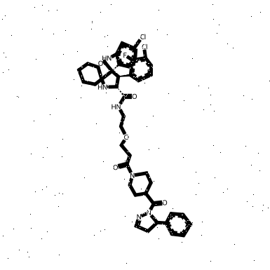 O=C(NCCOCCC(=O)N1CCC(C(=O)N2N=CCC2c2ccccc2)CC1)[C@@H]1NC2(CCCCC2)[C@@]2(C(=O)Nc3cc(Cl)ccc32)[C@H]1c1cccc(Cl)c1F